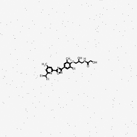 CCc1cc(-c2noc(-c3cc(C)cc(C(CC)CC)n3)n2)cc(C)c1OCC(O)CNC(=O)CO